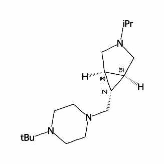 CC(C)N1C[C@@H]2[C@@H](CN3CCN(C(C)(C)C)CC3)[C@@H]2C1